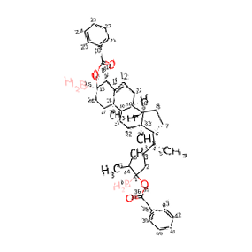 BC(CC[C@@H](C)[C@H]1CC[C@H]2[C@@H]3CC=C4C[C@](B)(OC(=O)c5ccccc5)CC[C@]4(C)C3CC[C@]12C)(OC(=O)c1ccccc1)C(C)C